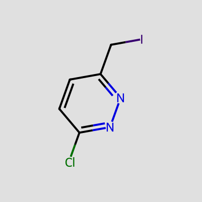 Clc1ccc(CI)nn1